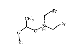 CCOC(C)O[SiH](CC(C)C)CC(C)C